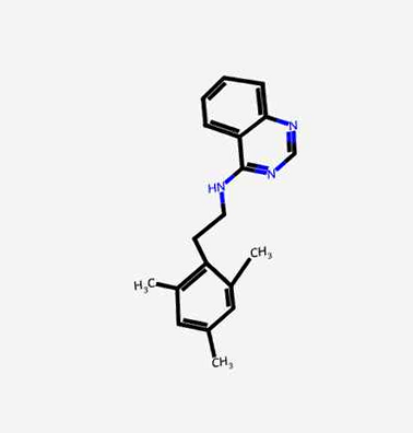 Cc1cc(C)c(CCNc2ncnc3ccccc23)c(C)c1